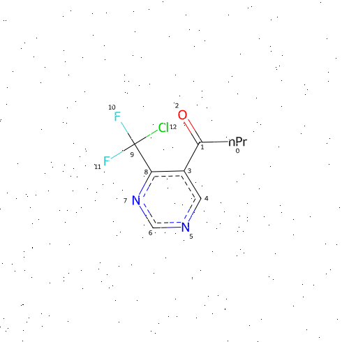 CCCC(=O)c1cncnc1C(F)(F)Cl